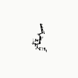 CCN(CC)CC#CCN=C=S